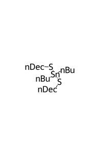 CCCCCCCCCC[S][Sn]([CH2]CCC)([CH2]CCC)[S]CCCCCCCCCC